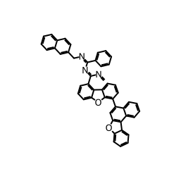 C=N/C(=N\C(=N/Cc1ccc2ccccc2c1)c1ccccc1)c1cccc2oc3c(-c4cc5oc6ccccc6c5c5ccccc45)cccc3c12